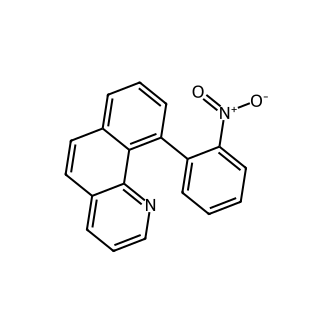 O=[N+]([O-])c1ccccc1-c1cccc2ccc3cccnc3c12